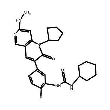 CNc1cc2c(cn1)cc(-c1ccc(F)c(NC(=O)NC3CCCCC3)c1)c(=O)n2C1CCCC1